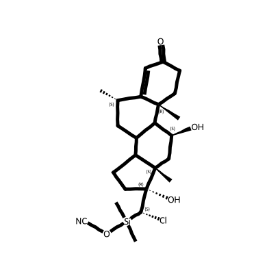 C[C@H]1CC2C([C@@H](O)C[C@@]3(C)C2CC[C@]3(O)[C@H](Cl)[Si](C)(C)OC#N)[C@@]2(C)CCC(=O)C=C12